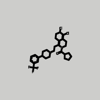 O=C(C1CCCC1)N1CCC2=C(Cl)C(Cl)CCC2=C1CCN1CCC(c2cccc(C(F)(F)F)c2)CC1